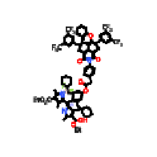 CCOC(=O)c1c(C)c(/C(=C2\N=C(C)C(C(O)OCC)=C2C)c2c(CC3CCCCC3)cc(OC(=O)Cc3ccc(-n4c(=O)c5cc(-c6cc(C(F)(F)F)cc(C(F)(F)F)c6)c6oc7ccccc7c7c(-c8cc(C(F)(F)F)cc(C(F)(F)F)c8)cc(c4=O)c5c67)cc3)cc2CC2CCCCC2)n(B(F)F)c1C